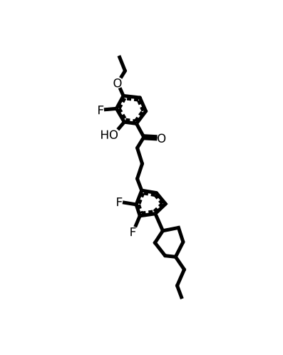 CCCC1CCC(c2ccc(CCCC(=O)c3ccc(OCC)c(F)c3O)c(F)c2F)CC1